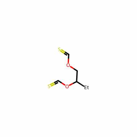 CCC(COC=S)OC=S